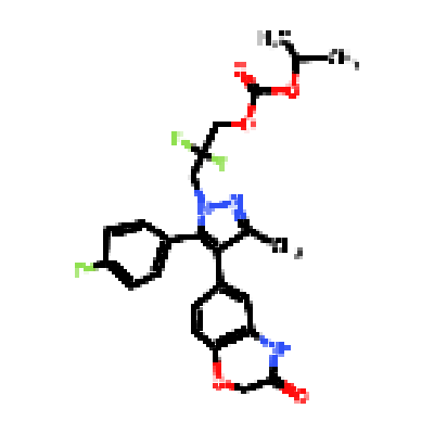 Cc1nn(CC(F)(F)COC(=O)OC(C)C)c(-c2ccc(F)cc2)c1-c1ccc2c(c1)NC(=O)CO2